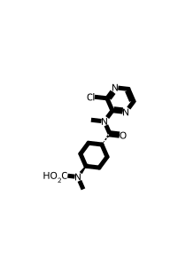 CN(c1nccnc1Cl)C(=O)[C@H]1CC[C@H](N(C)C(=O)O)CC1